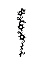 C=CC(=O)OCCCCOc1ccc(C(=O)Oc2ccc(/C=C(\C#N)C(=O)O[C@@H]3COC4CCOC43)cc2)cc1